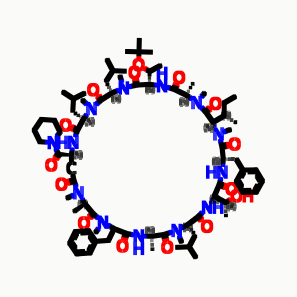 CC[C@H](C)[C@H]1C(=O)N(C)[C@@H](C)C(=O)N[C@@H](C(C)OC(C)(C)C)C(=O)N(C)[C@@H](CC(C)C)C(=O)N(C)[C@@H](CC(C)C)C(=O)N[C@H](C(=O)N2CCCCC2)CC(=O)N(C)[C@H](C)C(=O)N(C)C(Cc2ccccc2)C(=O)N[C@@H](C)C(=O)N(C)[C@@H](CC(C)C)C(=O)N[C@@H]([C@@H](C)O)C(=O)N[C@@H](Cc2ccccc2)C(=O)N1C